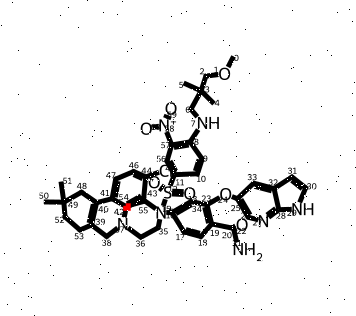 COCC(C)(C)CNc1ccc(S(=O)(=O)[N+]2(c3ccc(C(N)=O)c(Oc4cnc5[nH]ccc5c4)c3)CCN(CC3=C(c4ccc(Cl)cc4)CC(C)(C)CC3)CC2)cc1[N+](=O)[O-]